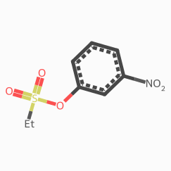 CCS(=O)(=O)Oc1cccc([N+](=O)[O-])c1